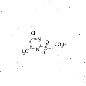 Cc1cc(Cl)nc(S(=O)(=O)CC(=O)O)n1